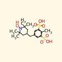 Cc1c(S(=O)(=O)O)cc(CC2CC(C)(C)N(O)C(C)(C)C2)cc1S(=O)(=O)O